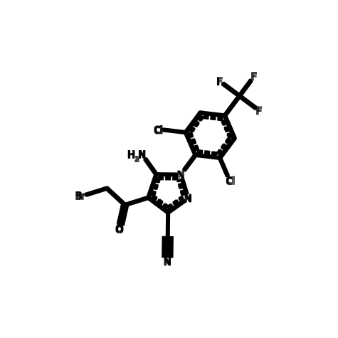 N#Cc1nn(-c2c(Cl)cc(C(F)(F)F)cc2Cl)c(N)c1C(=O)CBr